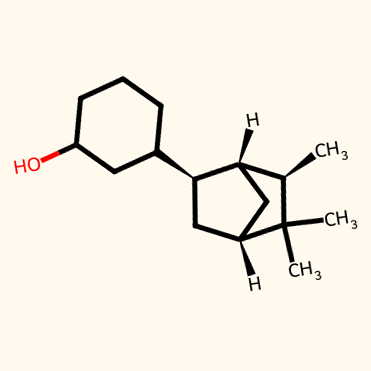 C[C@@H]1[C@@H]2C[C@@H](C[C@H]2C2CCCC(O)C2)C1(C)C